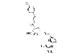 Cl.N#CNC(=NCCSCc1coc(N=C(N)N)n1)NCC=Cc1ccc(Cl)cc1